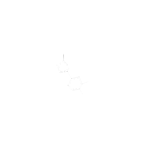 O=Cc1nnc(-c2ccc(F)c(O)c2)o1